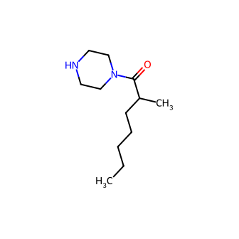 CCCCCC(C)C(=O)N1CCNCC1